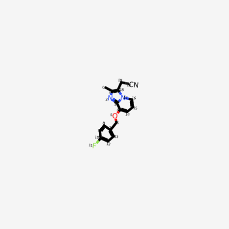 Cc1nc2c(OCc3ccc(F)cc3)cccn2c1CC#N